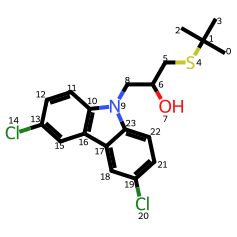 CC(C)(C)SCC(O)Cn1c2ccc(Cl)cc2c2cc(Cl)ccc21